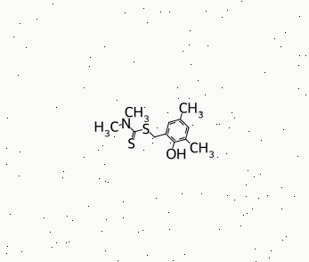 Cc1cc(C)c(O)c(CSC(=S)N(C)C)c1